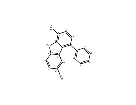 Clc1ccc(-c2ccccc2)c2c1sc1ccc(Br)cc12